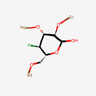 OC1O[C@H](COS)[C@@H](F)[C@H](OS)[C@H]1OS